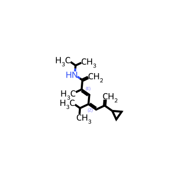 C=C(NC(C)C)/C(C)=C/C(=C\C(=C)C1CC1)C(C)C